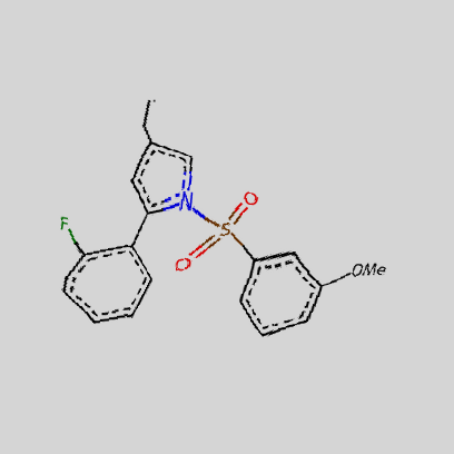 [CH2]c1cc(-c2ccccc2F)n(S(=O)(=O)c2cccc(OC)c2)c1